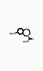 CNC(=O)N1CCSc2ccc(OC)cc2C1